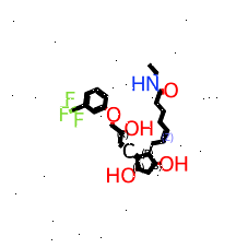 CCNC(=O)CCC/C=C\C[C@@H]1C(=C=C[C@@H](O)COc2cccc(C(F)(F)F)c2)[C@H](O)C[C@@H]1O